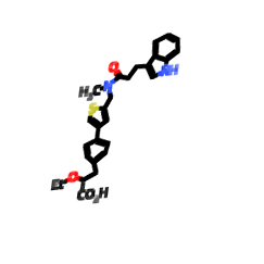 CCO[C@@H](Cc1ccc(-c2csc(CN(C)C(=O)CCc3c[nH]c4ccccc34)c2)cc1)C(=O)O